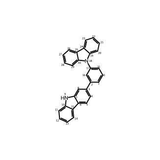 c1cc(-c2ccc3c(c2)[nH]c2ccccc23)cc(-n2c3ccccc3c3ccccc32)c1